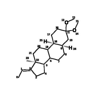 CC=C1CCC2C3CC[C@@H]4CC(OC)(OC)CC[C@@H]4C3CC[C@]12C